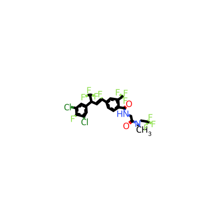 CN(CC(F)(F)F)C(=O)CNC(=O)c1ccc(/C(F)=C/C(c2cc(Cl)c(F)c(Cl)c2)C(F)(F)F)cc1C(F)(F)F